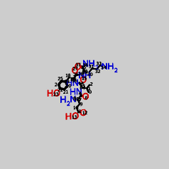 CC(C)[C@H](NC(=O)[C@@H](N)CCC(=O)O)C(=O)N[C@@H](Cc1ccc(O)cc1)C(=O)N[C@@H](CCCCN)C(N)=O